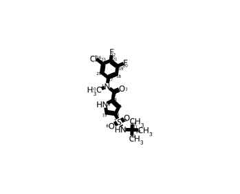 CN(C(=O)c1cc(S(=O)(=O)NC(C)(C)C)c[nH]1)c1cc(F)c(F)c(Cl)c1